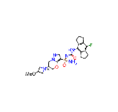 COC1CN([C@@H]2COc3c(S(N)(=O)=NC(=O)Nc4c5c(c(F)c6c4CCC6)CCC5)cnn3C2)C1